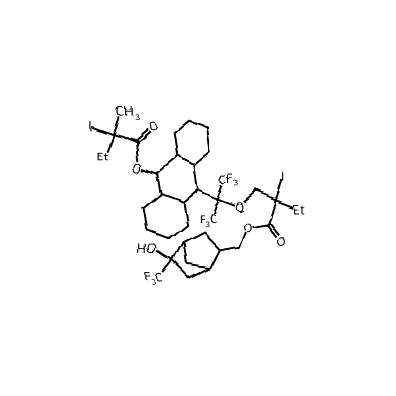 CCC(C)(I)C(=O)OC1C2CCCCC2C(C(OCC(I)(CC)C(=O)OCC2CC3CC2CC3(O)C(F)(F)F)(C(F)(F)F)C(F)(F)F)C2CCCCC21